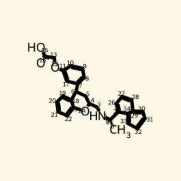 C[C@@H](NCC1CC(c2cccc(OCC(=O)O)c2)c2ccccc2O1)c1cccc2ccccc12